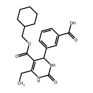 CCC1=C(C(=O)OCC2CCCCC2)C(c2cccc(C(=O)O)c2)NC(=O)N1